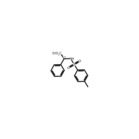 CCOC(=O)[C@@H](NS(=O)(=O)c1ccc(C)cc1)c1ccccc1